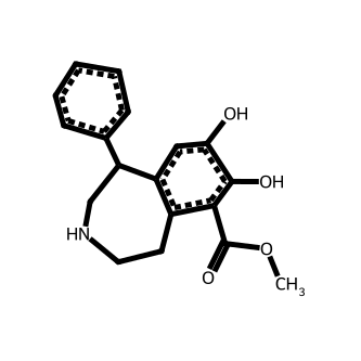 COC(=O)c1c(O)c(O)cc2c1CCNCC2c1ccccc1